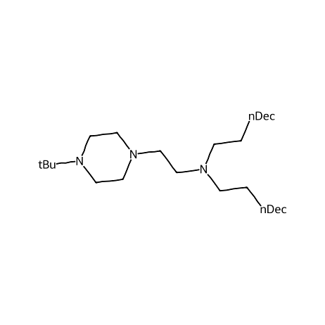 CCCCCCCCCCCCN(CCCCCCCCCCCC)CCN1CCN(C(C)(C)C)CC1